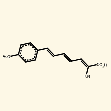 CC(=O)Oc1ccc(/C=C/C=C/C=C(\C#N)C(=O)O)cc1